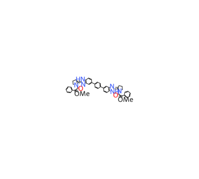 CO[C@@H](C(=O)N1CCC[C@H]1c1nc2cc(-c3ccc(-c4ccc5[nH]c([C@@H]6CCCN6C(=O)[C@H](OC)c6ccccc6)nc5c4)cc3)ccc2[nH]1)c1ccccc1